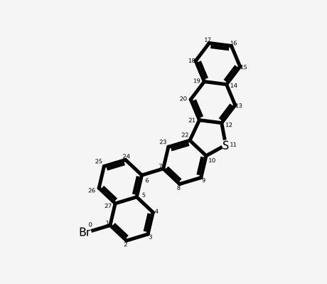 Brc1cccc2c(-c3ccc4sc5cc6ccccc6cc5c4c3)cccc12